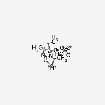 CCc1c(C)nc2cccc(C)n2c1=O.O=S(=O)([O-])O.[H+]